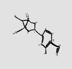 Cc1nc(N2C[C@@H]3C(C)[C@@H]3C2)ccc1C=O